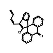 C=C/C=C\C1=C(Cl)C2(c3ccccc3C(=O)c3ccccc32)c2ccccc21